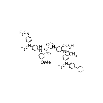 COc1ccc(Nc2ccc(N(C)c3ccc(SC(F)(F)F)cc3)cc2)c(C(=O)OC2CN(c3ccc(Nc4ccc(N(C)c5ccc(C6CCCCC6)cc5)cc4C)c(C(=O)O)c3)CCO2)c1